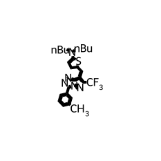 CCCCN(CCCC)C1=CCC(/C=c2/c(C(F)(F)F)nn3c(-c4cccc(C)c4)nnc23)S1